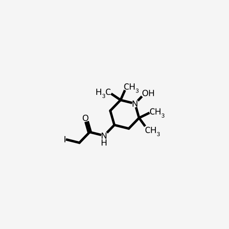 CC1(C)CC(NC(=O)CI)CC(C)(C)N1O